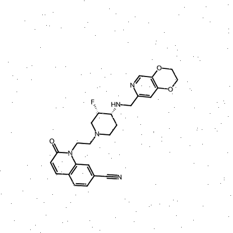 N#Cc1ccc2ccc(=O)n(CCN3CC[C@@H](NCc4cc5c(cn4)OCCO5)[C@@H](F)C3)c2c1